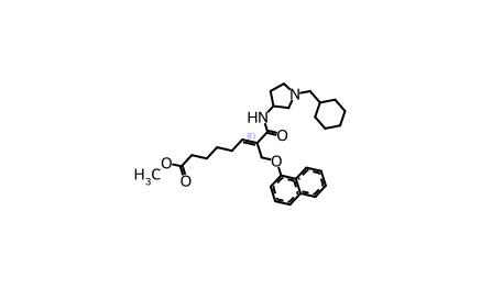 COC(=O)CCCC/C=C(\COc1cccc2ccccc12)C(=O)NC1CCN(CC2CCCCC2)C1